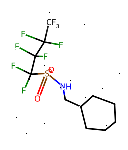 O=S(=O)(NCC1CCCCC1)C(F)(F)C(F)(F)C(F)(F)C(F)(F)F